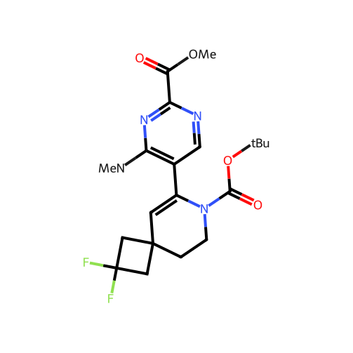 CNc1nc(C(=O)OC)ncc1C1=CC2(CCN1C(=O)OC(C)(C)C)CC(F)(F)C2